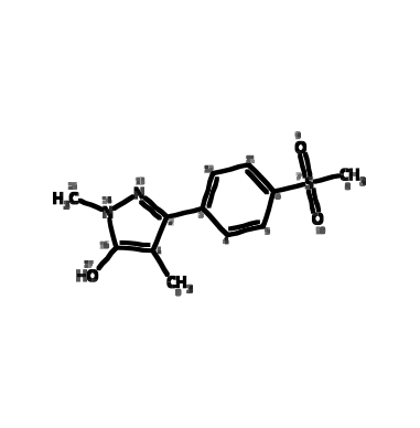 Cc1c(-c2ccc(S(C)(=O)=O)cc2)nn(C)c1O